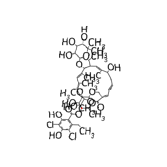 CCc1c(Cl)c(O)c(Cl)c(O)c1C(=O)OC1C(C)OC(OC/C2=C\C=C\CC(O)/C(C)=C/C(CC)C(OC3OC(C)(C)C(O)C(O)C3O)/C(C)=C/C(C)=C/CC(C(C)O)OC2=O)C(OC)C1O